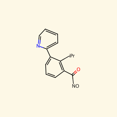 CC(C)c1c(C(=O)N=O)cccc1-c1ccccn1